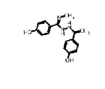 C=C(NN/C(=N\C)c1ccc(O)cc1)c1ccc(O)cc1